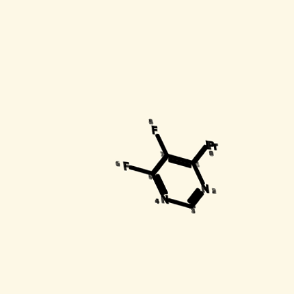 CC(C)c1n[c]nc(F)c1F